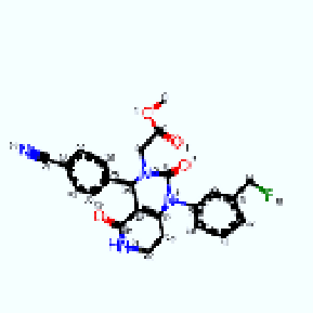 COC(=O)CN1C(=O)N(c2cccc(CF)c2)C2=C(C(=O)NCC2)C1c1ccc(C#N)cc1